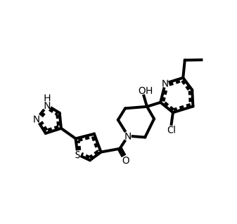 CCc1ccc(Cl)c(C2(O)CCN(C(=O)c3csc(-c4cn[nH]c4)c3)CC2)n1